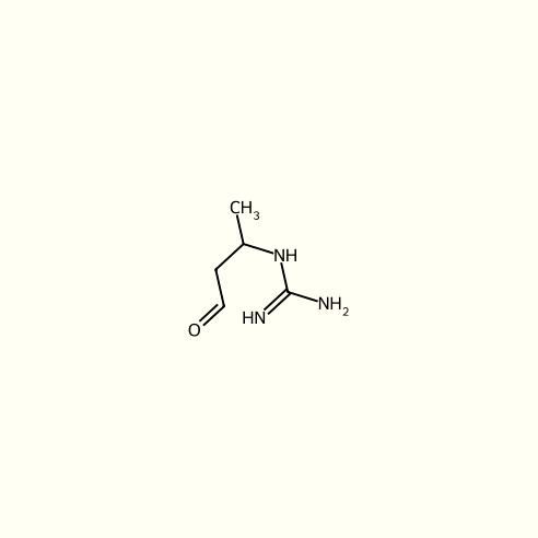 CC(CC=O)NC(=N)N